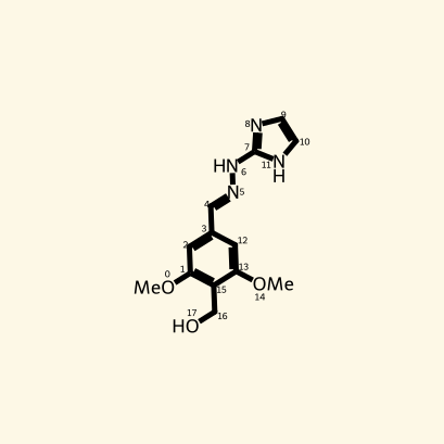 COc1cc(C=NNc2ncc[nH]2)cc(OC)c1CO